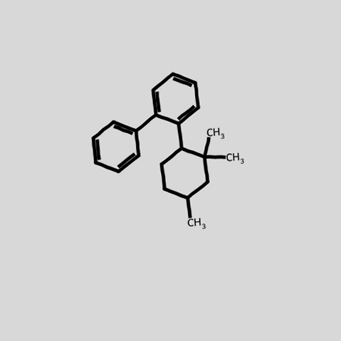 CC1CCC(c2ccccc2-c2ccccc2)C(C)(C)C1